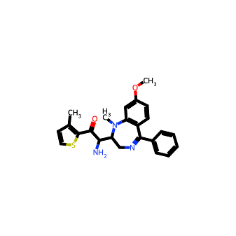 COc1ccc2c(c1)N(C)C(C(N)C(=O)c1sccc1C)CN=C2c1ccccc1